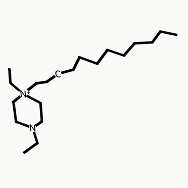 CCCCCCCCCCCC[N+]1(CC)CCN(CC)CC1